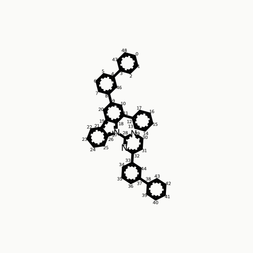 c1ccc(-c2cccc(-c3cc(-c4ccccc4)c4c(c3)c3ccccc3n4-c3nccc(-c4cccc(-c5ccccc5)c4)n3)c2)cc1